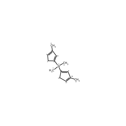 CC1=CCC([Si](C)(C)C2=CC(C)=CC2)=C1